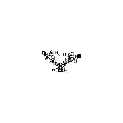 CC(C)(C)OC(=O)N[C@@H](CCC(=O)OCc1ccccc1)C(=O)NCCNc1ccc(NCCNC(=O)[C@H](CCC(=O)OCc2ccccc2)NC(=O)OC(C)(C)C)c2c1C(=O)c1c(O)ccc(O)c1C2=O